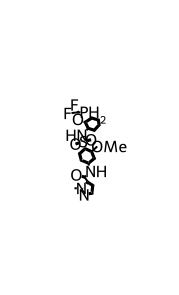 COc1cc(NC(=O)c2ccnn2C)ccc1S(=O)(=O)Nc1ccccc1OC(F)(F)P